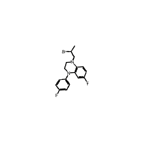 CC(Br)CN1CCN(c2ccc(F)cc2)c2cc(F)ccc21